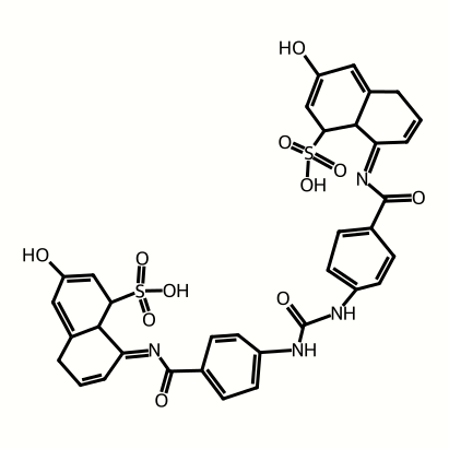 O=C(Nc1ccc(C(=O)N=C2C=CCC3=CC(O)=CC(S(=O)(=O)O)C32)cc1)Nc1ccc(C(=O)N=C2C=CCC3=CC(O)=CC(S(=O)(=O)O)C32)cc1